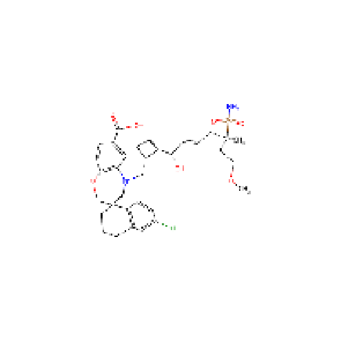 COCC[C@@](C)(C/C=C/[C@H](O)[C@@H]1CC[C@H]1CN1C[C@@]2(CCCc3cc(Cl)ccc32)COc2ccc(C(=O)O)cc21)S(N)(=O)=O